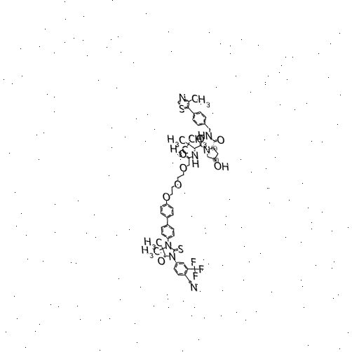 Cc1ncsc1-c1ccc(CNC(=O)[C@@H]2C[C@@H](O)CN2C(=O)C(NC(=O)COCCOCCOc2ccc(-c3ccc(N4C(=S)N(c5ccc(C#N)c(C(F)(F)F)c5)C(=O)C4(C)C)cc3)cc2)C(C)(C)C)cc1